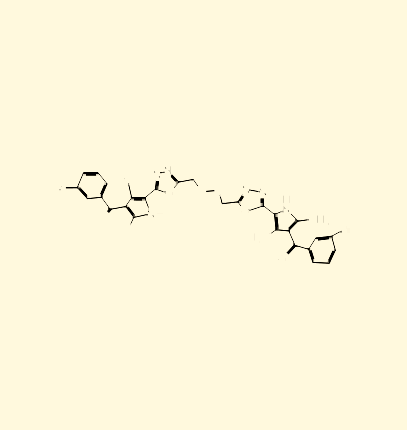 Cc1[nH]c(-c2nnc(CSSCc3nnc(-c4[nH]c(C)c(C(=O)c5cccc(Br)c5)c4C)o3)o2)c(C)c1C(=O)c1cccc(Br)c1